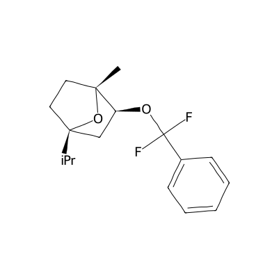 CC(C)[C@@]12CC[C@@](C)(O1)[C@@H](OC(F)(F)c1ccccc1)C2